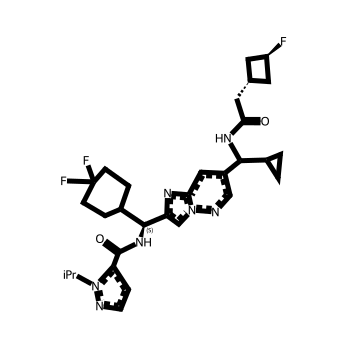 CC(C)n1nccc1C(=O)N[C@H](c1cn2ncc(C(NC(=O)C[C@H]3C[C@H](F)C3)C3CC3)cc2n1)C1CCC(F)(F)CC1